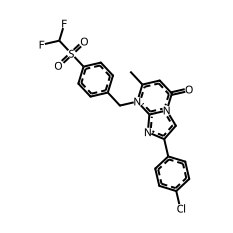 Cc1cc(=O)n2cc(-c3ccc(Cl)cc3)nc2n1Cc1ccc(S(=O)(=O)C(F)F)cc1